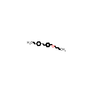 CC=CCCOCc1ccc(CC[C@H]2CC[C@H](C=CC)CC2)cc1